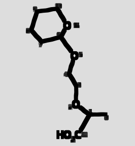 CC(OCCOC1CCCCO1)C(=O)O